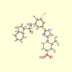 Cc1c(F)cc(-c2noc(N3CCN(C(=O)O)C(C)C3C(C)C)n2)cc1NC(=O)c1cnc2ccccn12